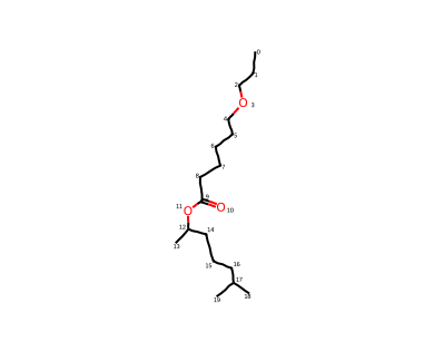 CCCOCCCCCC(=O)OC(C)CCCC(C)C